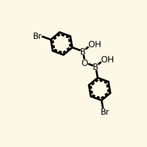 OB(OB(O)c1ccc(Br)cc1)c1ccc(Br)cc1